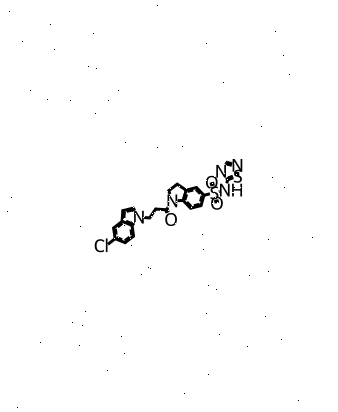 O=C(CCn1ccc2cc(Cl)ccc21)N1CCc2cc(S(=O)(=O)Nc3ncns3)ccc21